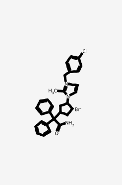 Cc1n(C2CCC(C(C(N)=O)(c3ccccc3)c3ccccc3)C2)cc[n+]1Cc1ccc(Cl)cc1.[Br-]